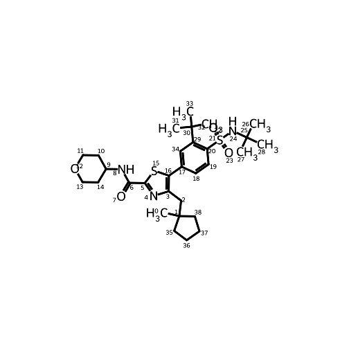 CC1(Cc2nc(C(=O)NC3CCOCC3)sc2-c2ccc(S(=O)(=O)NC(C)(C)C)c(C(C)(C)C)c2)CCCC1